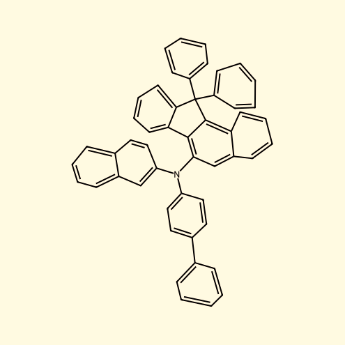 c1ccc(-c2ccc(N(c3ccc4ccccc4c3)c3cc4ccccc4c4c3-c3ccccc3C4(c3ccccc3)c3ccccc3)cc2)cc1